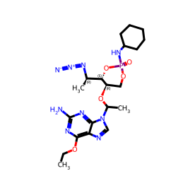 CCOc1nc(N)nc2c1ncn2C(C)O[C@@H]1COP(=O)(NC2CCCCC2)O[C@H]1[C@@H](C)N=[N+]=[N-]